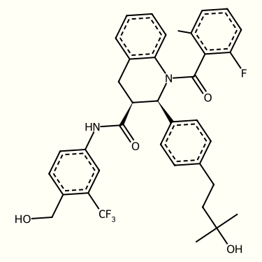 Cc1cccc(F)c1C(=O)N1c2ccccc2C[C@H](C(=O)Nc2ccc(CO)c(C(F)(F)F)c2)[C@@H]1c1ccc(CCC(C)(C)O)cc1